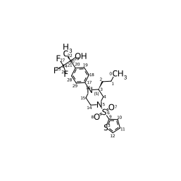 CCC[C@H]1CN(S(=O)(=O)c2cccs2)CCN1c1ccc([C@@](C)(O)C(F)(F)F)cc1